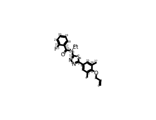 C=CCOc1c(C)cc(-c2nnc(N(CC)C(=O)c3ccccc3F)s2)cc1C